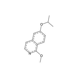 COc1nccc2cc(OC(C)C)ccc12